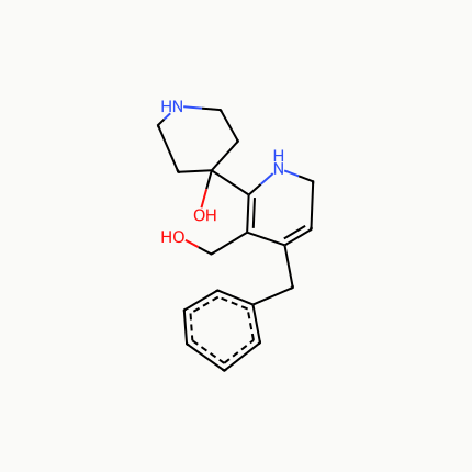 OCC1=C(C2(O)CCNCC2)NCC=C1Cc1ccccc1